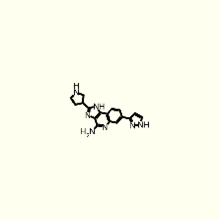 Nc1nc2cc(-c3cc[nH]n3)ccc2c2[nH]c(C3CCNC3)nc12